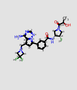 Nc1ncnn2c(-c3cccc(C(=O)N[C@@H]4CN(C(=O)C(O)C(F)(F)F)C[C@@H]4F)c3)cc(CN3CC(F)(F)C3)c12